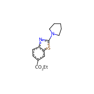 CCOC(=O)c1ccc2nc(N3CCCCC3)sc2c1